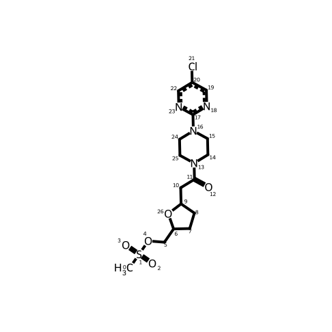 CS(=O)(=O)OCC1CCC(CC(=O)N2CCN(c3ncc(Cl)cn3)CC2)O1